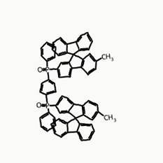 Cc1ccc2c(c1)C1(c3ccccc3-c3ccccc31)c1cc(P(=O)(c3ccccc3)c3ccc(P(=O)(c4ccccc4)c4ccc5c(c4)C4(c6ccccc6-c6ccccc64)c4cc(C)ccc4-5)cc3)ccc1-2